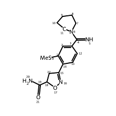 CSc1cc(C(=N)N2CCCCC2)ccc1C1=NOC(C(N)=O)C1